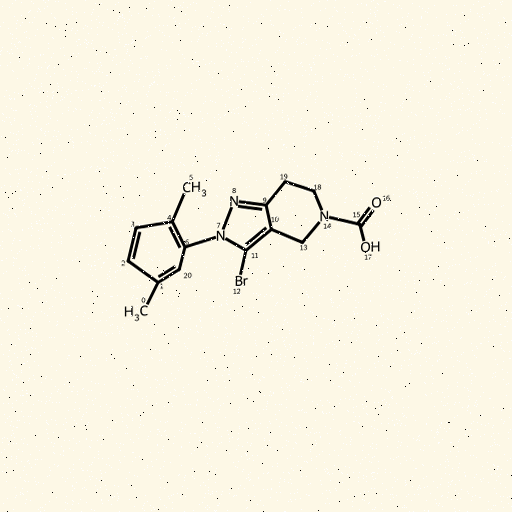 Cc1ccc(C)c(-n2nc3c(c2Br)CN(C(=O)O)CC3)c1